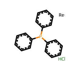 Cl.[Re].c1ccc(P(c2ccccc2)c2ccccc2)cc1